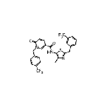 Cc1nc(Cc2cccc(C(F)(F)F)c2)sc1NC(=O)c1ccc(=O)n(Cc2ccc(C(F)(F)F)cc2)c1